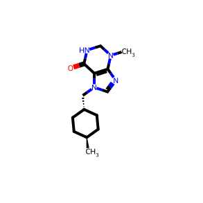 CN1CNC(=O)c2c1ncn2C[C@H]1CC[C@H](C)CC1